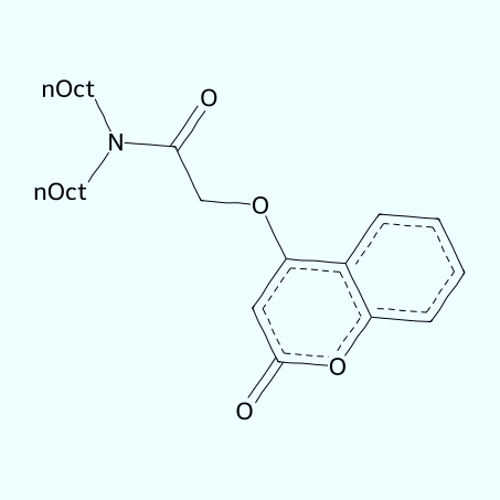 CCCCCCCCN(CCCCCCCC)C(=O)COc1cc(=O)oc2ccccc12